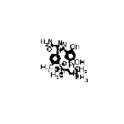 Cc1ccc(-n2c(C(N)=O)nnc2-c2cc(C(C)C)c(O)cc2O)cc1S(=O)(=O)N(C)CCN(C)C